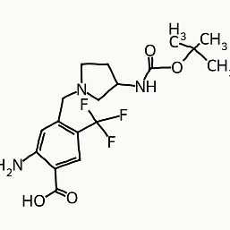 CC(C)(C)OC(=O)NC1CCN(Cc2cc(N)c(C(=O)O)cc2C(F)(F)F)C1